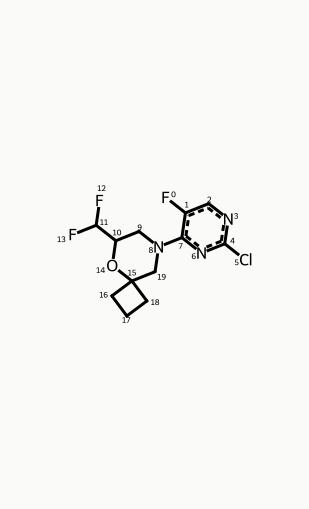 Fc1cnc(Cl)nc1N1CC(C(F)F)OC2(CCC2)C1